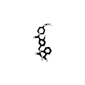 NOC1CCN(C(=O)c2cc(Cn3c(=O)[nH]c(=O)c4ccccc43)ccc2F)CC1